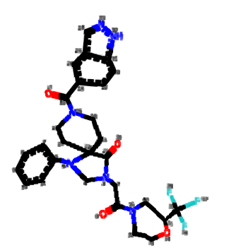 O=C(CN1CN(c2ccccc2)C2(CCN(C(=O)c3ccc4[nH]ncc4c3)CC2)C1=O)N1CCO[C@H](C(F)(F)F)C1